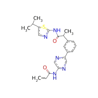 C=CC(=O)Nc1cnc(-c2cccc(C(C)C(=O)Nc3ncc(C(C)C)s3)c2)cn1